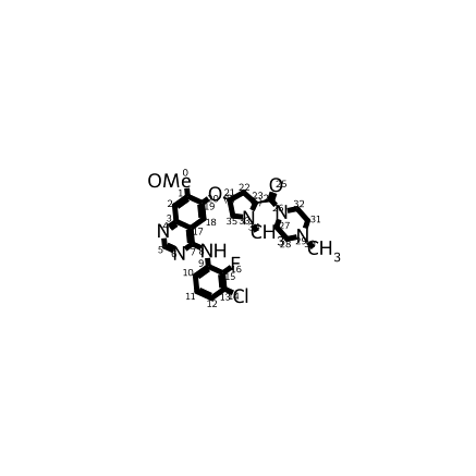 COc1cc2ncnc(Nc3cccc(Cl)c3F)c2cc1O[C@@H]1C[C@@H](C(=O)N2CCN(C)CC2)N(C)C1